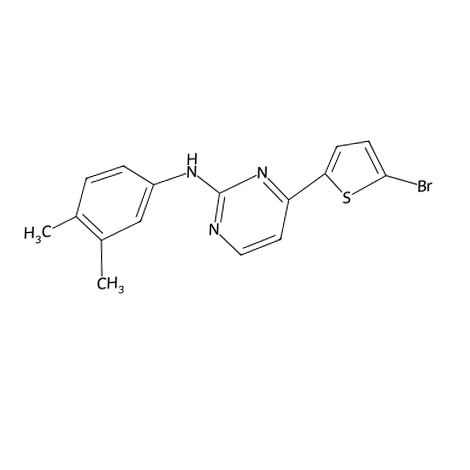 Cc1ccc(Nc2nccc(-c3ccc(Br)s3)n2)cc1C